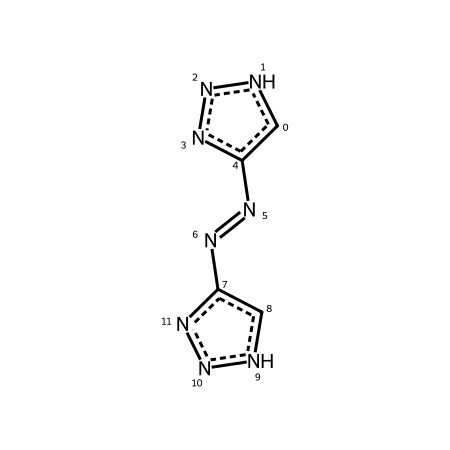 c1[nH]nnc1N=Nc1c[nH]nn1